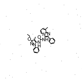 CCOc1nn(-c2ccccc2)c(NC(=O)Nc2c(-c3ccccc3)nc3c(C)cccn23)c1C